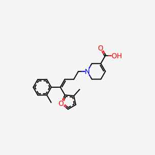 Cc1ccccc1C(=CCCN1CCC=C(C(=O)O)C1)c1occc1C